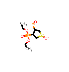 CCOP(=O)(OCC)C1C[S+]([O-])CC1P=O